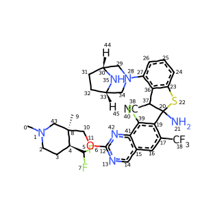 CN1CC[C@H](C(F)F)[C@](C)(COc2ncc3cc(C(F)(F)F)c(C4(N)Sc5cccc(N6C[C@H]7CC[C@@H](C6)N7)c5C4C#N)c(F)c3n2)C1